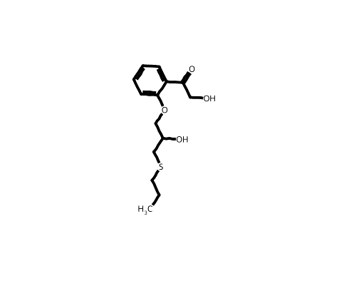 CCCSCC(O)COc1ccccc1C(=O)CO